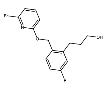 OCCCc1cc(F)ccc1COc1cccc(Br)n1